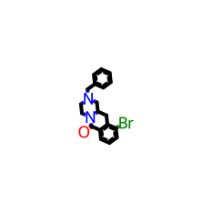 O=C1c2cccc(Br)c2CC2CN(Cc3ccccc3)CCN12